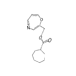 O=C(OCC1=CN=CC=CO1)C1CCCCCC1